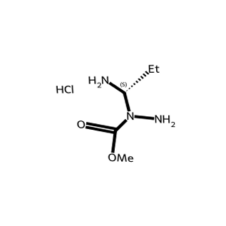 CC[C@@H](N)N(N)C(=O)OC.Cl